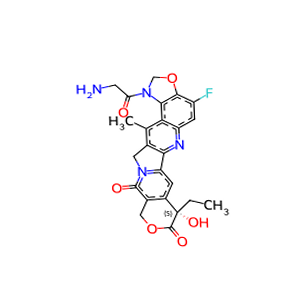 CC[C@@]1(O)C(=O)OCc2c1cc1n(c2=O)Cc2c-1nc1cc(F)c3c(c1c2C)N(C(=O)CN)CO3